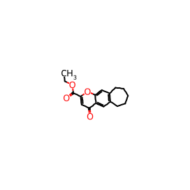 CCOC(=O)c1cc(=O)c2cc3c(cc2o1)CCCCC3